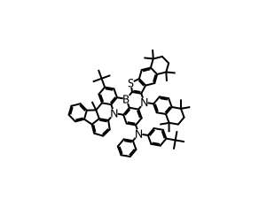 CC(C)(C)c1ccc(N(c2ccccc2)c2cc3c4c(c2)N(c2ccc5c(c2)C(C)(C)CCC5(C)C)c2c(sc5cc6c(cc25)C(C)(C)CCC6(C)C)B4c2cc(C(C)(C)C)cc4c2N3c2cccc3c2C4(C)c2ccccc2-3)cc1